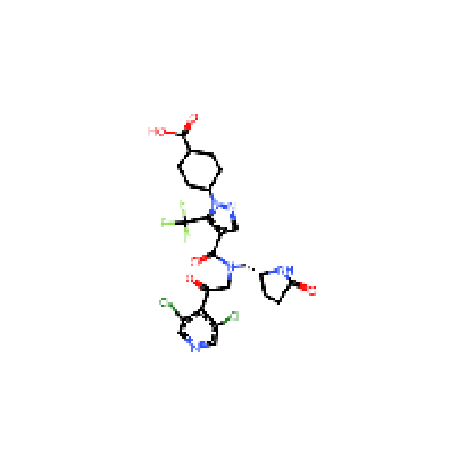 O=C1CC[C@H](CN(CC(=O)c2c(Cl)cncc2Cl)C(=O)c2cnn(C3CCC(C(=O)O)CC3)c2C(F)(F)F)N1